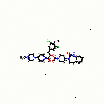 Cc1c(Cl)cc(CC(OC(=O)N2CCC(N3CCc4ccccc4NC3=O)CC2)C(=O)N2CCC(N3CCN(C)CC3)CC2)cc1Cl